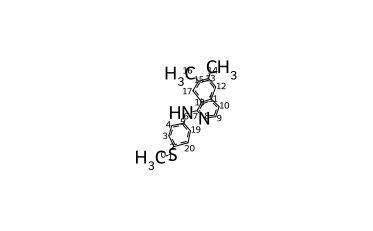 CSc1ccc(Nc2nccc3cc(C)c(C)cc23)cc1